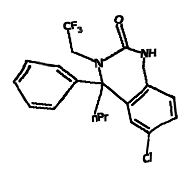 CCCC1(c2ccccc2)c2cc(Cl)ccc2NC(=O)N1CC(F)(F)F